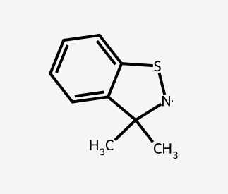 CC1(C)[N]Sc2ccccc21